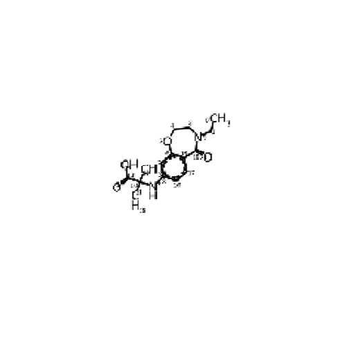 CCN1CCOc2cc(NC(C)(C)C(=O)O)ccc2C1=O